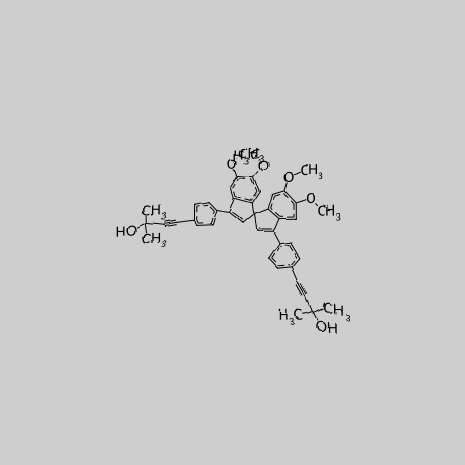 COc1cc2c(cc1OC)C1(C=C2c2ccc(C#CC(C)(C)O)cc2)C=C(c2ccc(C#CC(C)(C)O)cc2)c2cc(OC)c(OC)cc21